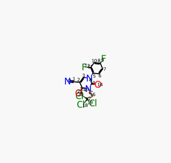 N#Cc1cn(-c2ccc(F)cc2F)c(=O)n(SC(Cl)(Cl)Cl)c1=O